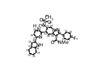 CNC(=O)c1c(-c2ccc(F)cc2)nn2cc(N(C)S(C)(=O)=O)c(-c3nccc(-c4cc5ccccc5[nH]4)n3)cc12